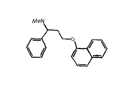 CNC(CCOc1cccc2ccccc12)c1ccccc1